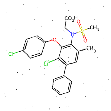 Cc1cc(-c2ccccc2)c(Cl)c(Oc2ccc(Cl)cc2)c1N(CC(=O)O)S(C)(=O)=O